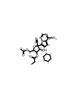 C1CCCCC1.CCC(=O)OC1C(COC(C)=O)OC(C#N)(c2ccc3c(N)ncnn23)C1O